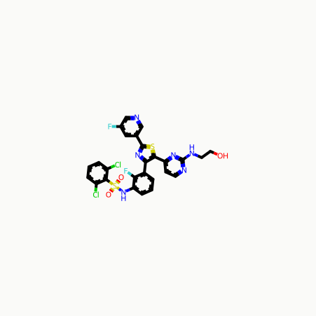 O=S(=O)(Nc1cccc(-c2nc(-c3cncc(F)c3)sc2-c2ccnc(NCCO)n2)c1F)c1c(Cl)cccc1Cl